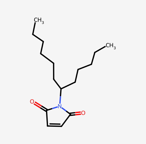 CCCCCCC(CCCCC)N1C(=O)C=CC1=O